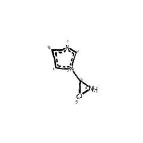 c1cn(C2NO2)cn1